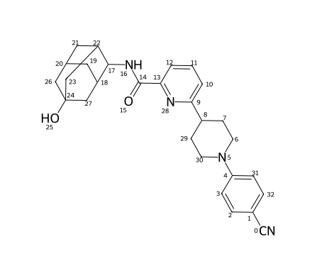 N#Cc1ccc(N2CCC(c3cccc(C(=O)NC4C5CC6CC4CC(O)(C6)C5)n3)CC2)cc1